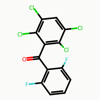 O=C(c1c(F)cccc1F)c1c(Cl)c(Cl)cc(Cl)c1Cl